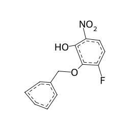 O=[N+]([O-])c1ccc(F)c(OCc2ccccc2)c1O